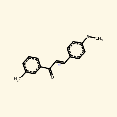 CSc1ccc(/C=C/C(=O)c2cccc(C)c2)cc1